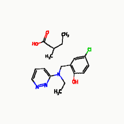 CCC(C)C(=O)O.CCN(Cc1cc(Cl)ccc1O)c1cccnn1